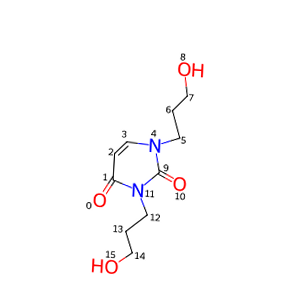 O=c1ccn(CCCO)c(=O)n1CCCO